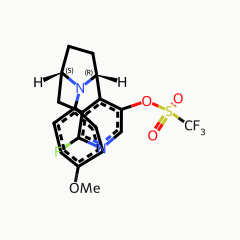 COc1ccc(N2[C@H]3CC[C@@H]2c2c(OS(=O)(=O)C(F)(F)F)cnc(F)c2C3)cc1